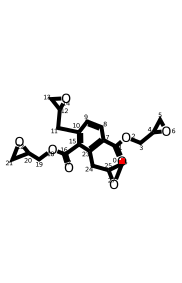 O=C(OCC1CO1)c1ccc(CC2CO2)c(C(=O)OCC2CO2)c1CC1CO1